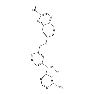 CNc1ccc2ccc(OCc3cncc(-c4c[nH]c5c(N)ncnc45)c3)cc2n1